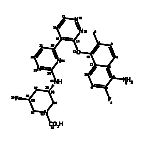 Cc1ccc2c(N)c(F)ccc2c1Oc1nnccc1-c1ccnc(N[C@H]2C[C@H](F)CN(C(=O)O)C2)n1